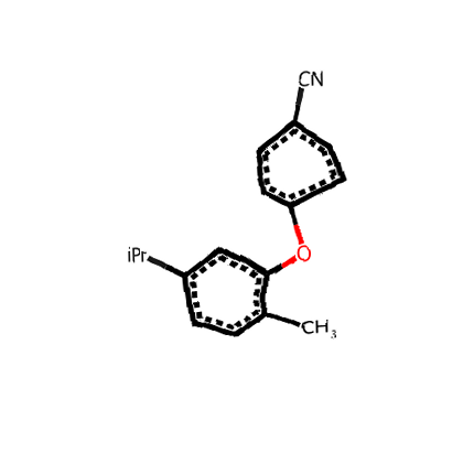 Cc1ccc(C(C)C)cc1Oc1ccc(C#N)cc1